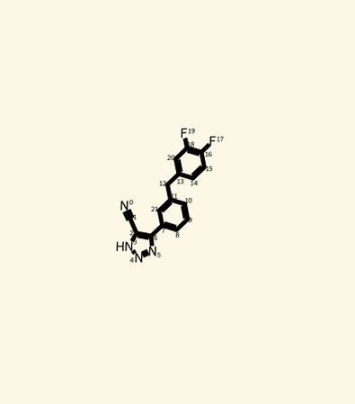 N#Cc1[nH]nnc1-c1cccc(Cc2ccc(F)c(F)c2)c1